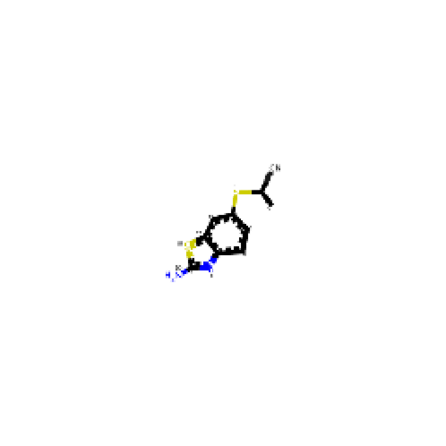 CC(C#N)Sc1ccc2nc(N)sc2c1